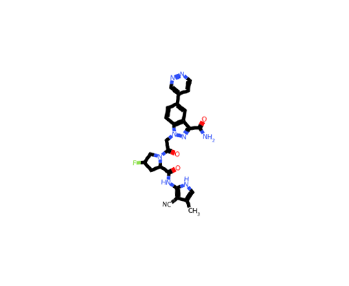 Cc1c[nH]c(NC(=O)C2CC(F)CN2C(=O)Cn2nc(C(N)=O)c3cc(-c4ccnnc4)ccc32)c1C#N